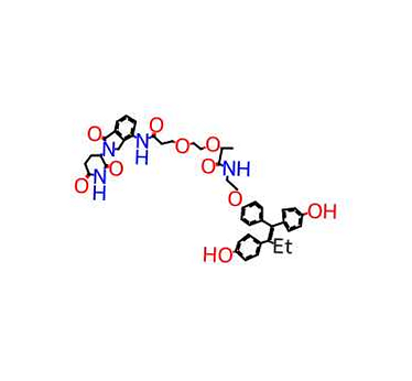 CCC(=C(c1ccc(O)cc1)c1ccc(OCCNC(=O)C(C)OCCOCCC(=O)Nc2cccc3c2CN(C2CCC(=O)NC2=O)C3=O)cc1)c1ccc(O)cc1